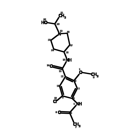 COc1cc(NC(C)=O)c(Cl)cc1C(=O)NC1CCN(C(C)O)CC1